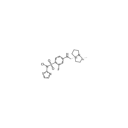 C[C@@H]1CC[C@@]2(CNc3ccc(S(=O)(=O)N(Cl)c4nccs4)c(F)c3)CCCN12